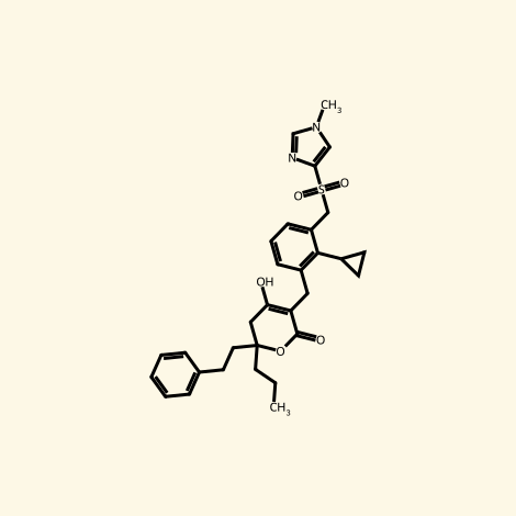 CCCC1(CCc2ccccc2)CC(O)=C(Cc2cccc(CS(=O)(=O)c3cn(C)cn3)c2C2CC2)C(=O)O1